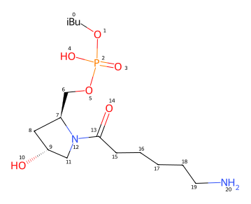 CCC(C)OP(=O)(O)OC[C@@H]1C[C@@H](O)CN1C(=O)CCCCCN